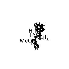 COc1cc(C(=O)NC(C)(C)COc2cccc3c2C(N)=NS(=O)(=O)N3)cc(-n2ccnc2)n1